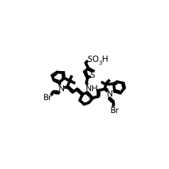 CC1(C)C(/C=C/C2=C(NCc3cc(CS(=O)(=O)O)cs3)C(=C/C=C3/N(/C=C/Br)c4ccccc4C3(C)C)/CCC2)=[N+](/C=C/Br)c2ccccc21